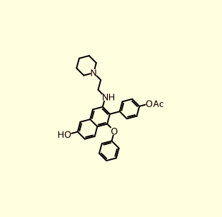 CC(=O)Oc1ccc(-c2c(NCCN3CCCCC3)cc3cc(O)ccc3c2Oc2ccccc2)cc1